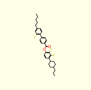 CCCCCc1ccc(-c2ccc(C(=O)Oc3ccc(C4CCC(CCC)CC4)c(F)c3F)cc2)c(F)c1